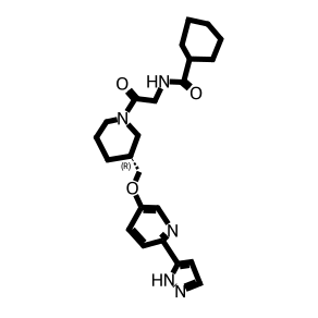 O=C(NCC(=O)N1CCC[C@@H](COc2ccc(-c3ccn[nH]3)nc2)C1)C1CCCCC1